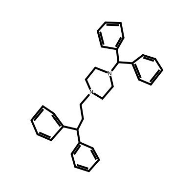 c1ccc(C(CCN2CCN(C(c3ccccc3)c3ccccc3)CC2)c2ccccc2)cc1